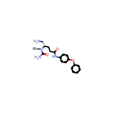 CC(C)(C)N(C(N)=O)[C@H](CN)CCC(=O)Nc1ccc(Oc2ccccc2)cc1